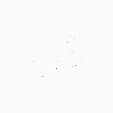 O=C(Nc1nccc2ccccc12)c1ccccc1